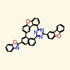 c1ccc(-c2nc(-c3ccc4oc5ccccc5c4c3)nc(-c3cccc4oc5ccc(-c6cccc(-c7nc8ccccc8o7)c6)cc5c34)n2)cc1